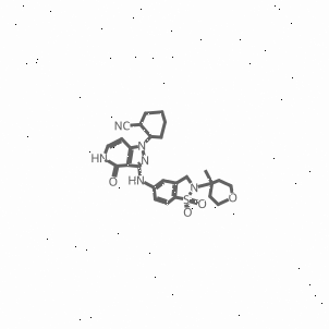 CC1(N2Cc3cc(Nc4nn(C5CCCCC5C#N)c5cc[nH]c(=O)c45)ccc3S2(=O)=O)CCOCC1